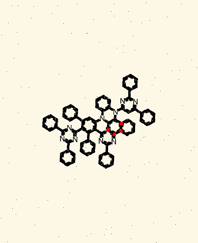 c1ccc(-c2cc(N3c4ccccc4N(c4cc(-c5ccccc5)c(-c5nc(-c6ccccc6)nc(-c6ccccc6)n5)c(-c5ccccc5)c4-c4nc(-c5ccccc5)nc(-c5ccccc5)n4)c4ccccc43)nc(-c3ccccc3)n2)cc1